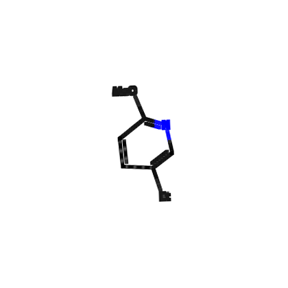 [CH2]Cc1ccc(OC)nc1